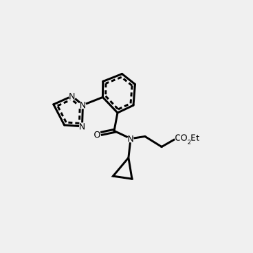 CCOC(=O)CCN(C(=O)c1ccccc1-n1nccn1)C1CC1